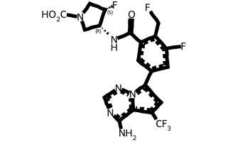 Nc1ncnn2c(-c3cc(F)c(CF)c(C(=O)N[C@@H]4CN(C(=O)O)C[C@@H]4F)c3)cc(C(F)(F)F)c12